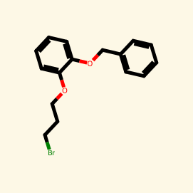 BrCCCOc1ccccc1OCc1ccccc1